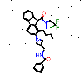 CCCCc1c(N2CC(CNC(=O)c3ccccc3)C2)ccc2c1C(C(=O)NCC(F)(F)F)c1ccccc1-2